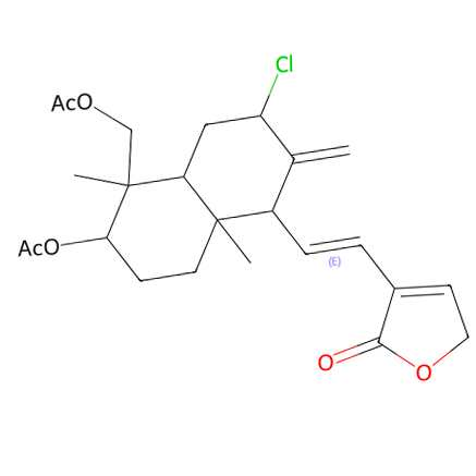 C=C1C(Cl)CC2C(C)(COC(C)=O)C(OC(C)=O)CCC2(C)C1/C=C/C1=CCOC1=O